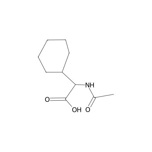 CC(=O)NC(C(=O)O)C1CCCCC1